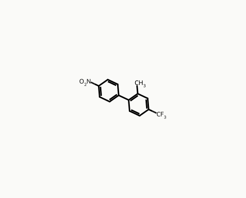 Cc1cc(C(F)(F)F)ccc1-c1ccc([N+](=O)[O-])cc1